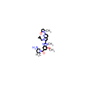 COc1cc(C(=O)N2C[C@H](N)CC[C@@H]2C)cc2nc(-c3cc4ccc(N5C(=O)CC[C@@H]5C)nc4n3CC3CC3)n(C)c12